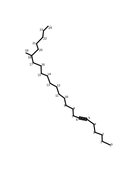 [CH2]CCCCC#CCCCCCCCCCCCC(C)CCCC[CH2]